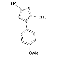 COc1ccc(-n2nc(S)nc2C)cc1